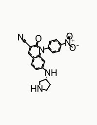 N#Cc1cc2ccc(N[C@@H]3CCNC3)cc2n(-c2ccc([N+](=O)[O-])cc2)c1=O